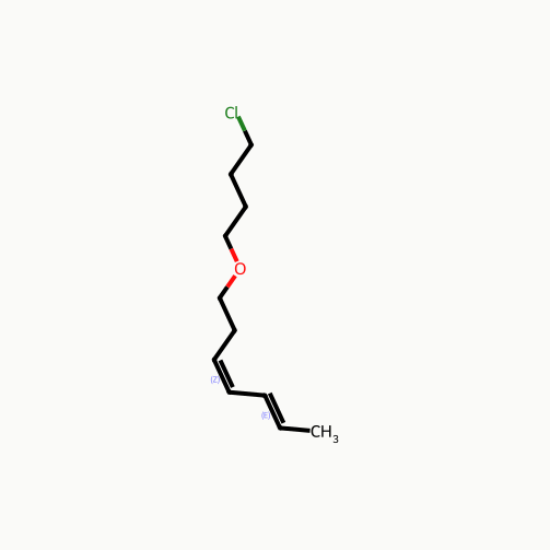 C/C=C/C=C\CCOCCCCCl